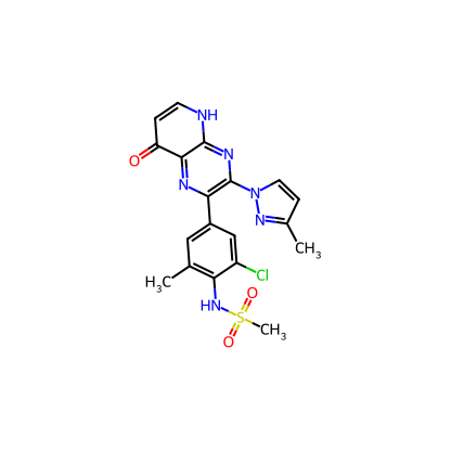 Cc1ccn(-c2nc3[nH]ccc(=O)c3nc2-c2cc(C)c(NS(C)(=O)=O)c(Cl)c2)n1